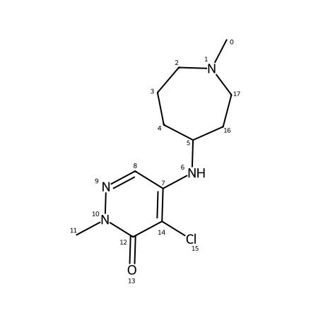 CN1CCCC(Nc2cnn(C)c(=O)c2Cl)CC1